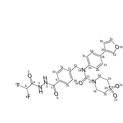 O=C(NNC(=O)C(F)F)c1ccc(CN(C(=O)N2CCS(=O)(=O)CC2)c2ccc(-c3ccoc3)cc2)cc1